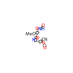 COc1cc(C(=O)NCC2(F)COC2)ccc1-c1cc2nccc(-c3ccc(OC4CCOCC4)c(C#N)c3)c2o1